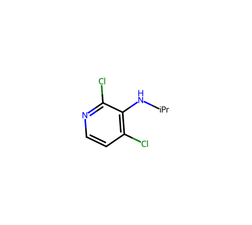 CC(C)Nc1c(Cl)ccnc1Cl